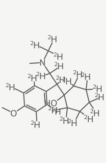 [2H]c1c([2H])c(C([2H])(C([2H])([2H])N(C)C([2H])([2H])[2H])C2(O)C([2H])([2H])C([2H])([2H])C([2H])([2H])C([2H])([2H])C2([2H])[2H])c([2H])c([2H])c1OC